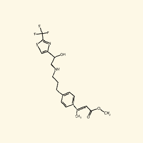 COC(=O)C=C(C)c1ccc(CCCNCC(O)c2csc(C(F)(F)F)n2)cc1